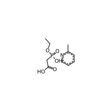 CCOP(=O)(O)CC(=O)O.Cc1ccccn1